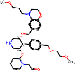 COCCCN1CCOc2ccc(CO[C@H]3CNC[C@@H](OC4CCCCN4CC=O)[C@@H]3c3ccc(COCCOC)cc3)cc21